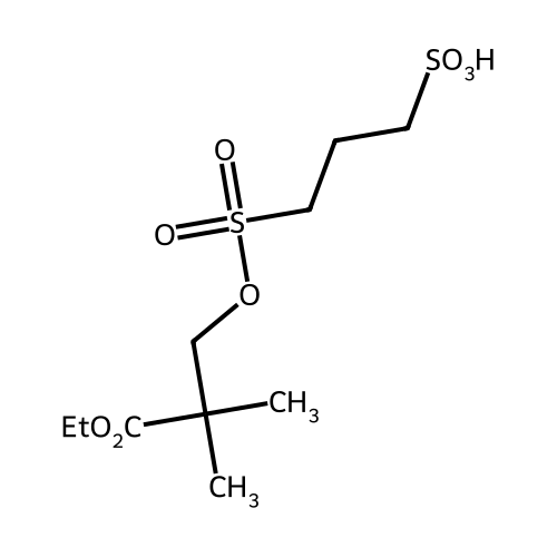 CCOC(=O)C(C)(C)COS(=O)(=O)CCCS(=O)(=O)O